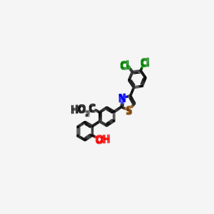 O=C(O)c1cc(-c2nc(-c3ccc(Cl)c(Cl)c3)cs2)ccc1-c1ccccc1O